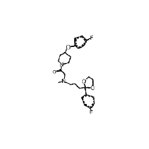 CN(CCCC1(c2ccc(F)cc2)OCCO1)CC(=O)N1CCC(Oc2ccc(F)cc2)CC1